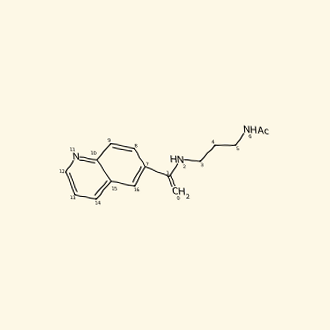 C=C(NCCCNC(C)=O)c1ccc2ncccc2c1